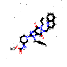 C=CCn1c(=O)c2nc(N3CCCC(NC(=O)OC(C)(C)C)C3)n(CC#CC)c2c(=O)n1Cc1ccc2ccccc2n1